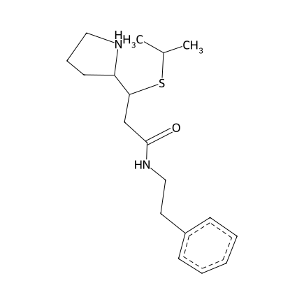 CC(C)SC(CC(=O)NCCc1ccccc1)C1CCCN1